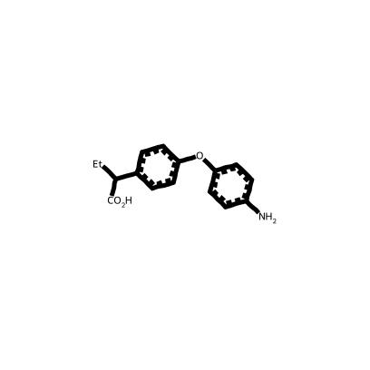 CCC(C(=O)O)c1ccc(Oc2ccc(N)cc2)cc1